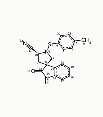 Cc1ccc(SN2C[C@]3(C[C@H]2C#N)C(=O)Nc2ccccc23)cc1